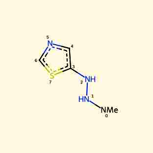 CNNNc1cncs1